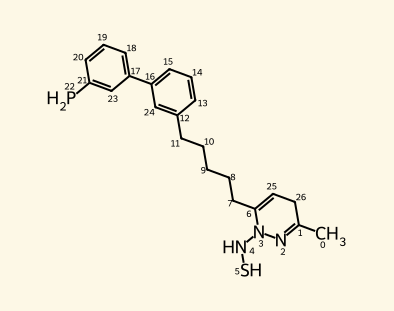 CC1=NN(NS)C(CCCCCc2cccc(-c3cccc(P)c3)c2)=CC1